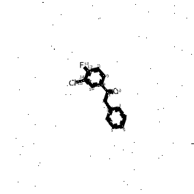 O=C(Cc1ccccc1)c1ccc(F)c(Cl)c1